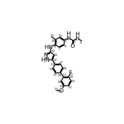 CNC(=O)Nc1ccc(Nc2cc(-c3ccc(-c4cc(OC)ccc4F)cc3)[nH]n2)c(C)c1